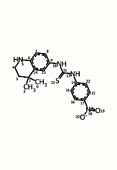 CC1(C)CCNc2ccc(NC(=S)Nc3ccc([N+](=O)[O-])cc3)cc21